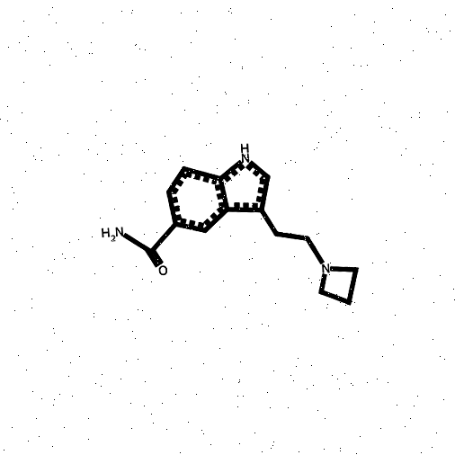 NC(=O)c1ccc2[nH]cc(CCN3CCC3)c2c1